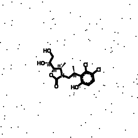 C[C@@H](CN1C(=O)O[C@H]([C@H](O)CO)[C@@H]1C)c1c(O)ccc(Cl)c1Cl